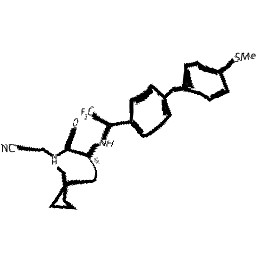 CSc1ccc(-c2ccc(C(N[C@@H](CC3(C)CC3)C(=O)NCC#N)C(F)(F)F)cc2)cc1